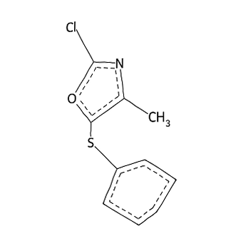 Cc1nc(Cl)oc1Sc1ccccc1